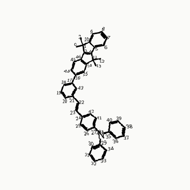 CC1(C)C2=C(c3ccccc31)C(C)(C)c1cc(-c3cccc(/C=C/c4ccc(N(c5ccccc5)c5ccccc5)cc4)c3)ccc12